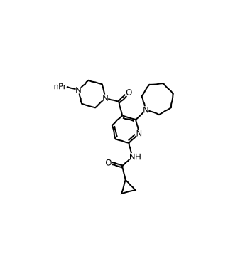 CCCN1CCN(C(=O)c2ccc(NC(=O)C3CC3)nc2N2CCCCCC2)CC1